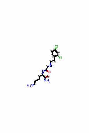 NCCCCC(NC(=O)CNCCc1ccc(Cl)cc1Cl)C(N)=O